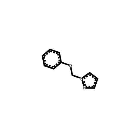 [c]1ccc(OCn2cccn2)cc1